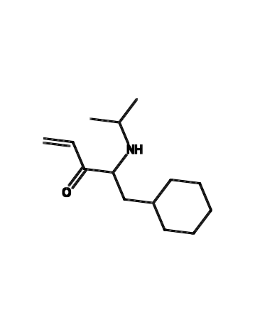 C=CC(=O)C(CC1CCCCC1)NC(C)C